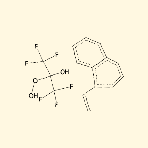 C=Cc1cccc2ccccc12.OOC(O)(C(F)(F)F)C(F)(F)F